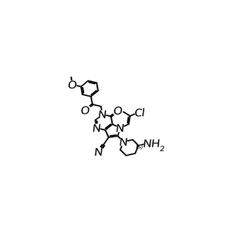 COc1cccc(C(=O)Cn2cnc3c(C#N)c(N4CCC[C@H](N)C4)n(C=C(C)Cl)c3c2=O)c1